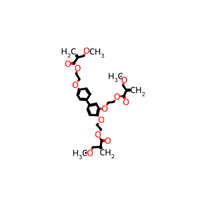 C=C(COC)C(=O)OCCOc1ccc(-c2ccc(OCCOC(=O)C(=C)COC)c(OCCOC(=O)C(=C)COC)c2)cc1